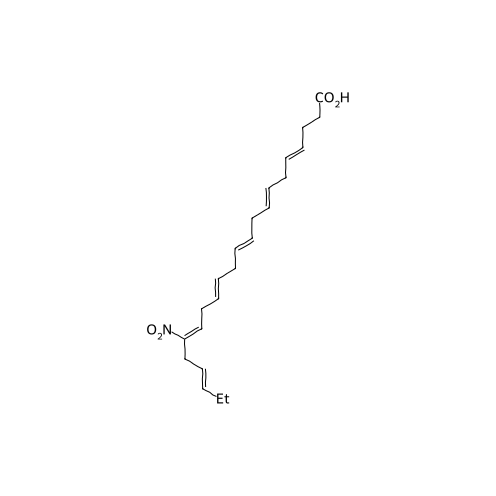 CCC=CCC(=CCC=CCC=CCC=CCC=CCCC(=O)O)[N+](=O)[O-]